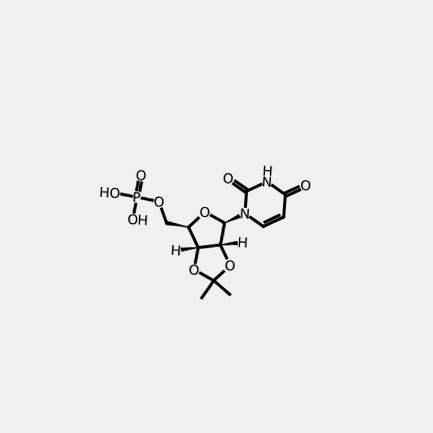 CC1(C)O[C@@H]2[C@H](O1)[C@@H](COP(=O)(O)O)O[C@H]2n1ccc(=O)[nH]c1=O